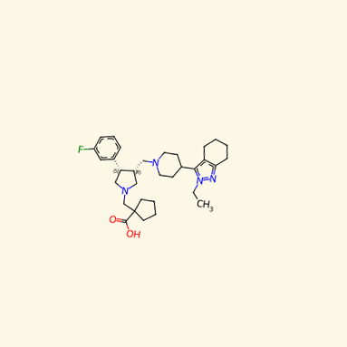 CCn1nc2c(c1C1CCN(C[C@@H]3CN(CC4(C(=O)O)CCCC4)C[C@@H]3c3cccc(F)c3)CC1)CCCC2